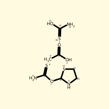 CC(=O)O.NC(=S)OC1NCCS1.NC(O)=S